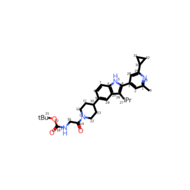 Cc1cc(-c2[nH]c3ccc(C4CCN(C(=O)CNC(=O)OC(C)(C)C)CC4)cc3c2C(C)C)cc(C2CC2)n1